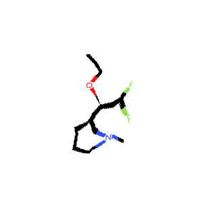 CCO[C@@H](C(F)F)[C@@H]1CCCN1C